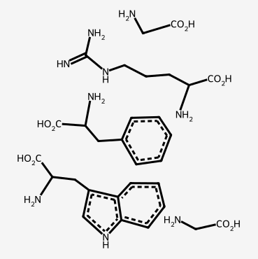 N=C(N)NCCCC(N)C(=O)O.NC(Cc1c[nH]c2ccccc12)C(=O)O.NC(Cc1ccccc1)C(=O)O.NCC(=O)O.NCC(=O)O